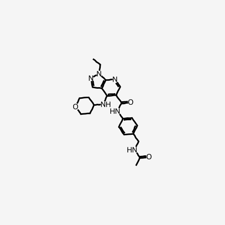 CCn1ncc2c(NC3CCOCC3)c(C(=O)Nc3ccc(CNC(C)=O)cc3)cnc21